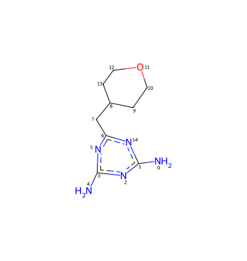 Nc1nc(N)nc(CC2CCOCC2)n1